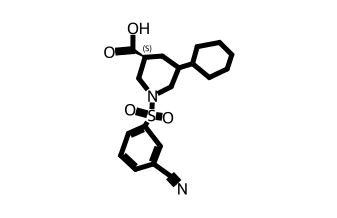 N#Cc1cccc(S(=O)(=O)N2CC(C3CCCCC3)C[C@H](C(=O)O)C2)c1